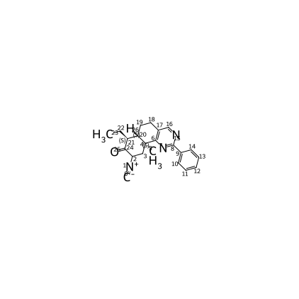 [C-]#[N+]C1C[C@]2(C)c3nc(-c4ccccc4)ncc3CC[C@H]2[C@H](CC)C1=O